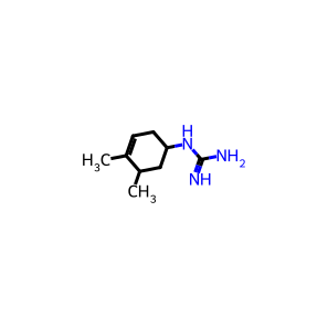 CC1=CCC(NC(=N)N)CC1C